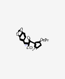 CCCOc1cccc(C(=O)/C(=C\c2ccc3c(c2)OCO3)C(=O)O)c1